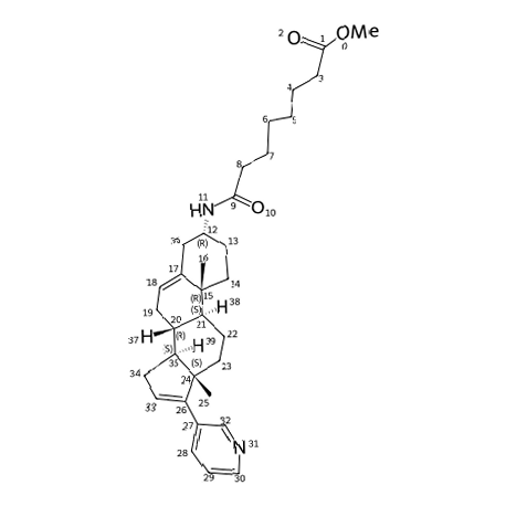 COC(=O)CCCCCCC(=O)N[C@@H]1CC[C@@]2(C)C(=CC[C@@H]3[C@@H]2CC[C@]2(C)C(c4cccnc4)=CC[C@@H]32)C1